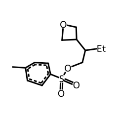 CCC(COS(=O)(=O)c1ccc(C)cc1)C1COC1